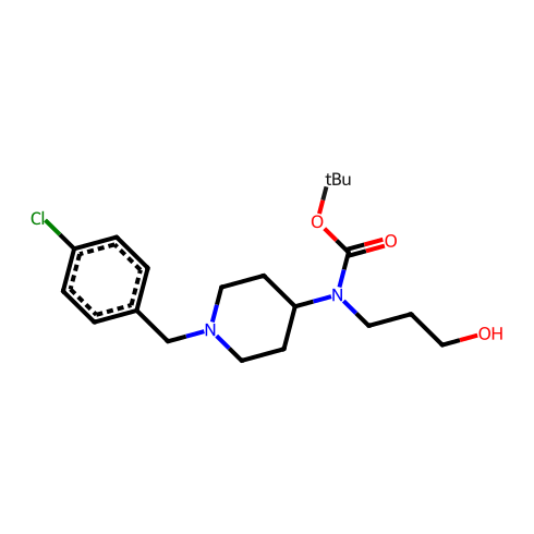 CC(C)(C)OC(=O)N(CCCO)C1CCN(Cc2ccc(Cl)cc2)CC1